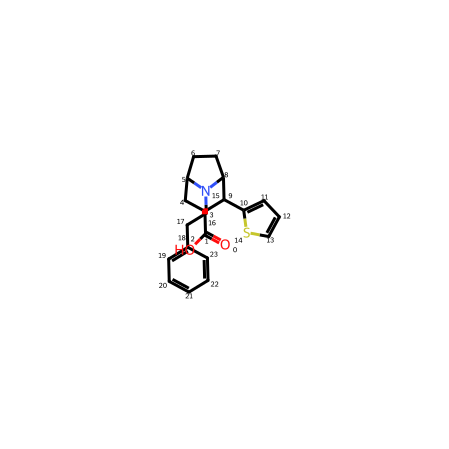 O=C(O)C1CC2CCC(C1c1cccs1)N2CCc1ccccc1